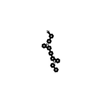 N#Cc1cccc(-c2ccc(-n3c4ccccc4c4cc(-c5ccc(-c6ccc7c(c6)c6ccccc6n7-c6cccc(-c7ccccc7)c6)cc5)ccc43)cc2)c1